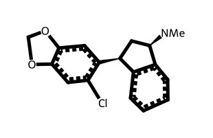 CN[C@@H]1C[C@H](c2cc3c(cc2Cl)OCO3)c2ccccc21